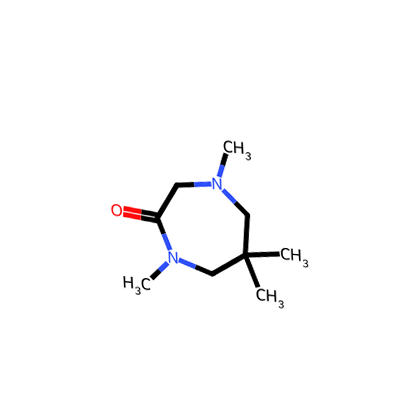 CN1CC(=O)N(C)CC(C)(C)C1